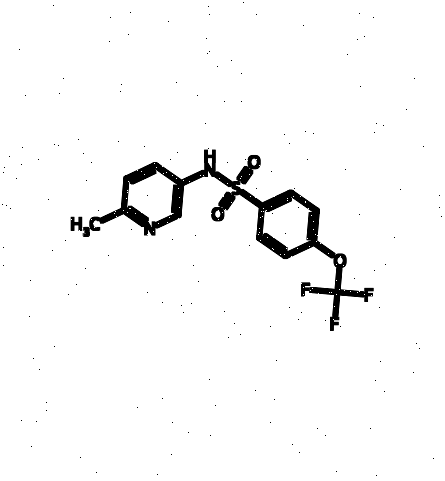 Cc1ccc(NS(=O)(=O)c2ccc(OC(F)(F)F)cc2)cn1